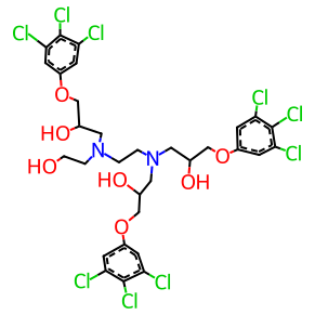 OCCN(CCN(CC(O)COc1cc(Cl)c(Cl)c(Cl)c1)CC(O)COc1cc(Cl)c(Cl)c(Cl)c1)CC(O)COc1cc(Cl)c(Cl)c(Cl)c1